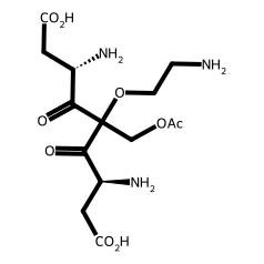 CC(=O)OCC(OCCN)(C(=O)[C@@H](N)CC(=O)O)C(=O)[C@@H](N)CC(=O)O